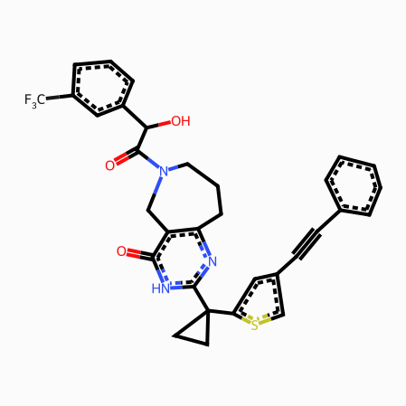 O=C(C(O)c1cccc(C(F)(F)F)c1)N1CCCc2nc(C3(c4cc(C#Cc5ccccc5)cs4)CC3)[nH]c(=O)c2C1